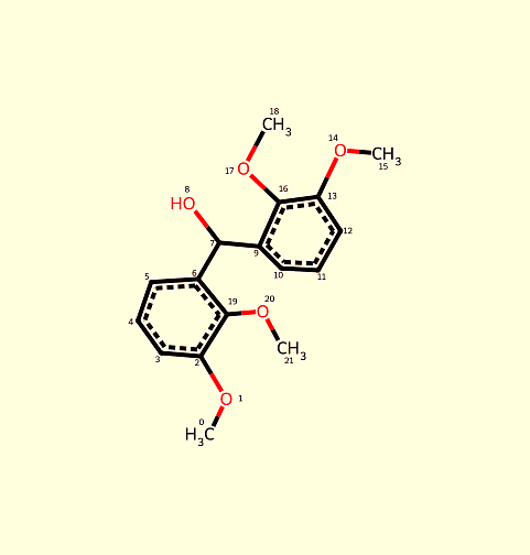 COc1cccc(C(O)c2cccc(OC)c2OC)c1OC